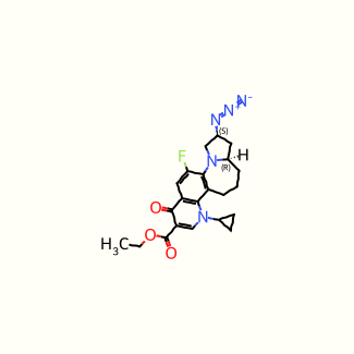 CCOC(=O)c1cn(C2CC2)c2c3c(c(F)cc2c1=O)N1C[C@@H](N=[N+]=[N-])C[C@H]1CCC3